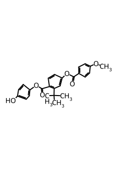 COc1ccc(C(=O)Oc2ccc(C(=O)Oc3ccc(O)cc3)c(C(C)(C)C)c2)cc1